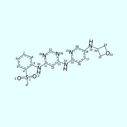 CS(=O)(=O)c1ccccc1Nc1cc(Nc2ccc(NC3COC3)cn2)ncn1